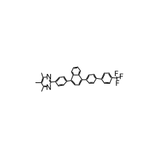 Cc1nc(-c2ccc(-c3ccc(-c4ccc(-c5ccc(C(F)(F)F)cc5)cc4)c4ccccc34)cc2)nc(C)c1C